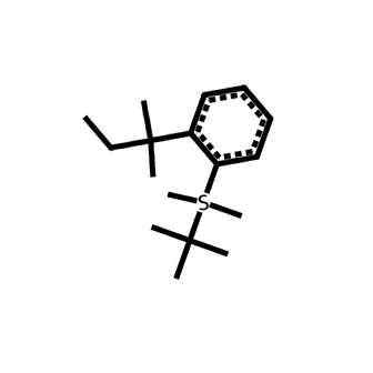 CCC(C)(C)c1ccccc1S(C)(C)C(C)(C)C